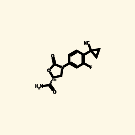 N#CC1(c2ccc(N3C[C@H](C(N)=O)OC3=O)cc2F)CC1